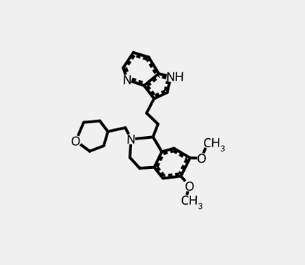 COc1cc2c(cc1OC)C(CCc1c[nH]c3cccnc13)N(CC1CCOCC1)CC2